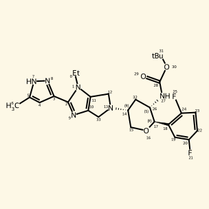 CCn1c(-c2cc(C)[nH]n2)nc2c1CN([C@H]1CO[C@H](c3cc(F)ccc3F)[C@@H](NC(=O)OC(C)(C)C)C1)C2